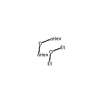 CCCCCCOCCCCCC.CCOCC